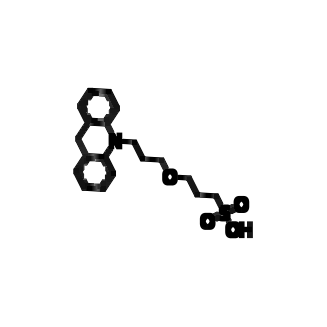 O=S(=O)(O)CCCOCCCN1c2ccccc2Cc2ccccc21